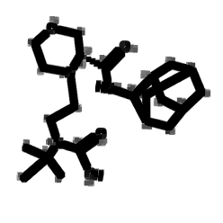 CC(C)(C)N(CCN1CCOC[C@@H]1C(=O)NC1C2CC3CC(C2)CC1C3)C(=O)O